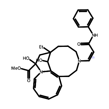 CCC12CCCN(/C=C\C(=O)Nc3ccccc3)CCc3ccccccn(c3C1O)C(O)(C(=O)OC)C2